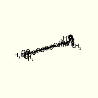 CNCc1cc2ccccc2n1CCC(=O)NCC(=O)NCCOCCOCCOCCOCCOCCOCCC(=O)N[C@H](C=O)C(C)C